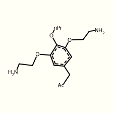 CCCOc1c(OCCN)cc(CC(C)=O)cc1OCCN